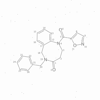 O=C1CCN(C(=O)c2ccno2)c2ccccc2CN1Cc1ccccc1